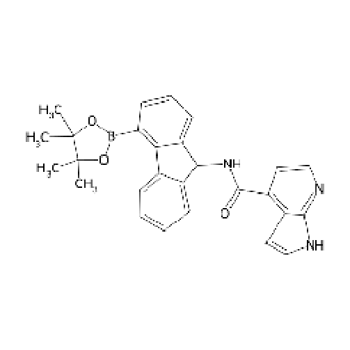 CC1(C)OB(c2cccc3c2-c2ccccc2C3NC(=O)c2ccnc3[nH]ccc23)OC1(C)C